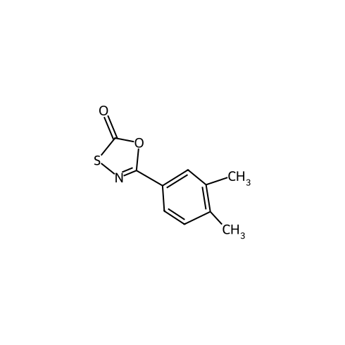 Cc1ccc(-c2nsc(=O)o2)cc1C